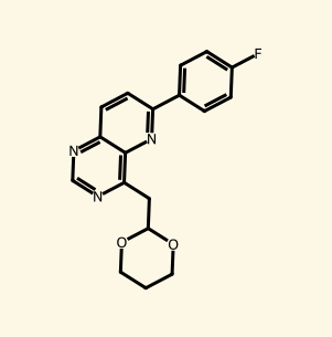 Fc1ccc(-c2ccc3ncnc(CC4OCCCO4)c3n2)cc1